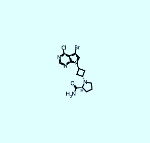 NC(=O)[C@@H]1CCCN1[C@H]1C[C@H](n2cc(Br)c3c(Cl)ncnc32)C1